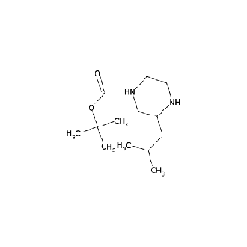 CC(C)(C)OC=O.CC(C)CC1CNCCN1